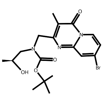 Cc1c(CN(C[C@H](C)O)C(=O)OC(C)(C)C)nc2cc(Br)ccn2c1=O